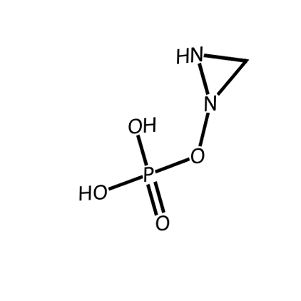 O=P(O)(O)ON1CN1